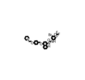 O=C(Nc1ccc(OC(F)(F)F)c(Br)c1)Nc1ccc(OCc2ccc(OCCN3CCCCC3)cc2)c2ccccc12